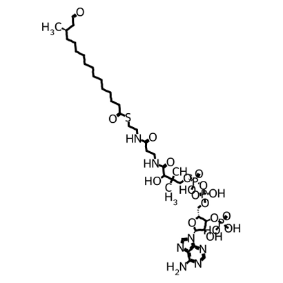 C[C@@H](CC=O)CCCCCCCCCCCCC(=O)SCCNC(=O)CCNC(=O)C(O)C(C)(C)COP(=O)(O)OP(=O)(O)OC[C@H]1O[C@@H](n2cnc3c(N)ncnc32)[C@H](O)[C@@H]1OP(=O)(O)O